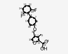 Cc1c(COc2ccc(-c3c(F)cccc3F)cc2)coc1C(=O)O